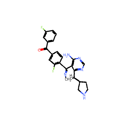 C/N=C(/c1ccc(C(=O)c2cccc(F)c2)cc1F)c1c(N)ncnc1C(C)C1CCNC1